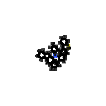 Cc1cc2c(c(N(c3ccccc3-c3ccccc3)c3ccccc3-c3cccc4sc5ccccc5c34)c1C)Cc1ccccc1-2